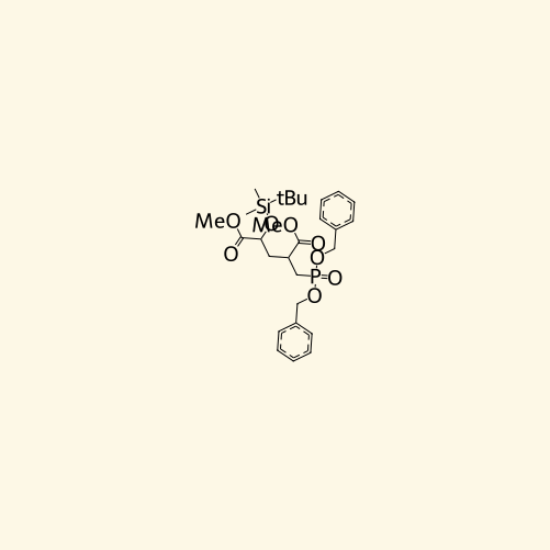 COC(=O)C(CC(O[Si](C)(C)C(C)(C)C)C(=O)OC)CP(=O)(OCc1ccccc1)OCc1ccccc1